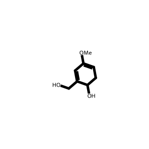 COC1=CCC(O)C(CO)=C1